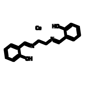 Oc1ccccc1C=NCCN=Cc1ccccc1O.[Ce]